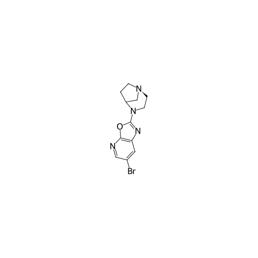 Brc1cnc2oc(N3CC[N@]4CCC3C4)nc2c1